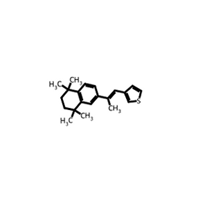 CC(=Cc1ccsc1)c1ccc2c(c1)C(C)(C)CCC2(C)C